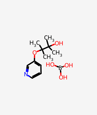 CC(C)(O)C(C)(C)Oc1cccnc1.OB(O)O